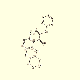 N=C(C(=O)Nc1ccccc1)c1c(N)ncc(Cl)c1NC1CCCNC1